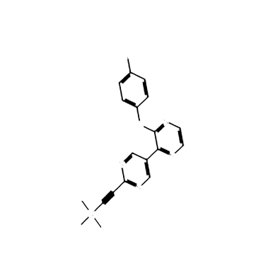 C[Si](C)(C)C#Cc1ncc(-c2nccnc2Oc2ccc(C(F)(F)F)cc2)cn1